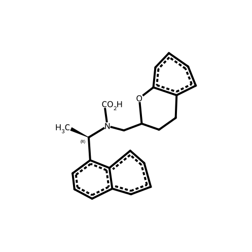 C[C@H](c1cccc2ccccc12)N(CC1CCc2ccccc2O1)C(=O)O